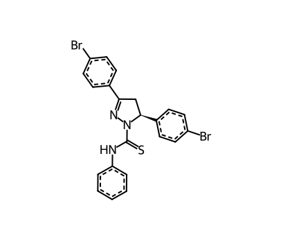 S=C(Nc1ccccc1)N1N=C(c2ccc(Br)cc2)C[C@H]1c1ccc(Br)cc1